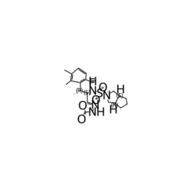 Cc1ccc(F)c([C@@H](C)[C@H](NS(=O)(=O)N2C[C@H]3CCC[C@H]3C2)c2n[nH]c(=O)o2)c1C